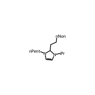 CCCCCCCCCCCC1N(CCCCC)C=CN1C(C)C